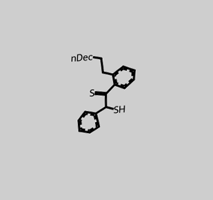 CCCCCCCCCCCCc1ccccc1C(=S)C(S)c1ccccc1